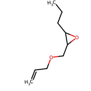 C=CCOCC1OC1CCC